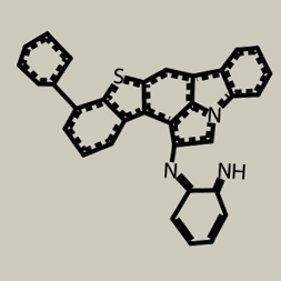 N=C1C=CC=C/C1=N/c1cn2c3ccccc3c3cc4sc5c(-c6ccccc6)cccc5c4c1c32